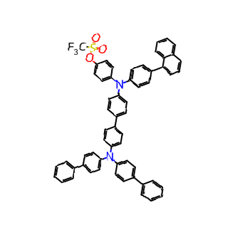 O=S(=O)(Oc1ccc(N(c2ccc(-c3ccc(N(c4ccc(-c5ccccc5)cc4)c4ccc(-c5ccccc5)cc4)cc3)cc2)c2ccc(-c3cccc4ccccc34)cc2)cc1)C(F)(F)F